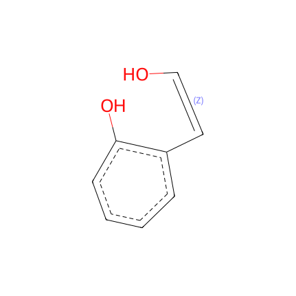 O/C=C\c1ccccc1O